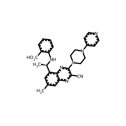 Cc1cc([C@@H](C)Nc2ccccc2C(=O)O)c2nc(N3CCN(c4ccncc4)CC3)c(C#N)nc2c1